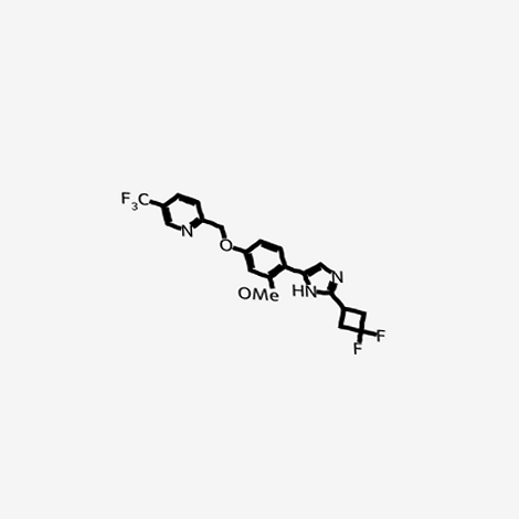 COc1cc(OCc2ccc(C(F)(F)F)cn2)ccc1-c1cnc(C2CC(F)(F)C2)[nH]1